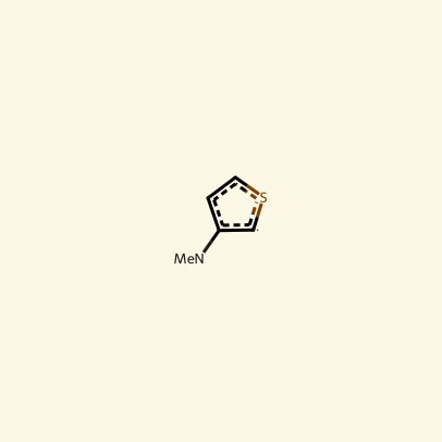 CNc1[c]scc1